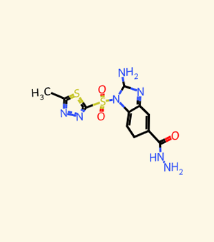 Cc1nnc(S(=O)(=O)N2C3=CCC(C(=O)NN)=CC3=NC2N)s1